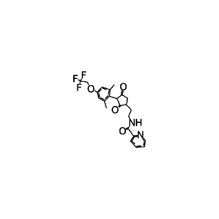 Cc1cc(OCC(F)(F)F)cc(C)c1C1C(=O)CC(CCNC(=O)c2ccccn2)C1=O